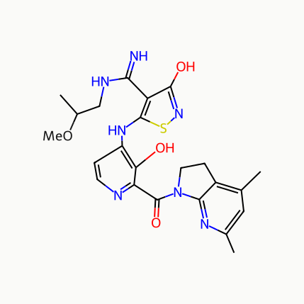 COC(C)CNC(=N)c1c(O)nsc1Nc1ccnc(C(=O)N2CCc3c(C)cc(C)nc32)c1O